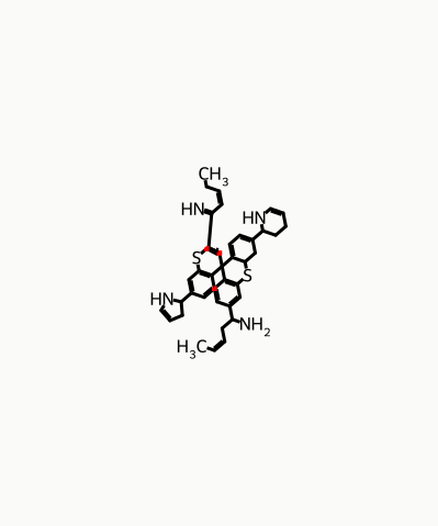 C/C=C\CC(N)c1ccc2c(c1)SC1CC(C3CCC=CN3)=CC=C1C21C2=C(CC(C(=N)/C=C\CC)C=C2)Sc2cc(C3CC=CN3)ccc21